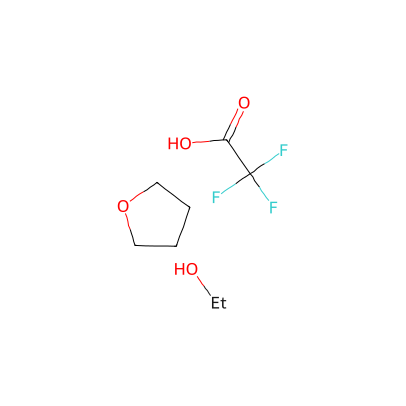 C1CCOC1.CCO.O=C(O)C(F)(F)F